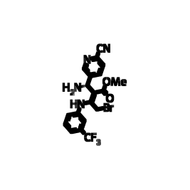 COC(=O)/C(=C(\CBr)Nc1cccc(C(F)(F)F)c1)[C@H](N)c1ccc(C#N)nc1